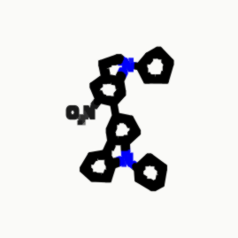 O=[N+]([O-])c1cc2ccn(-c3ccccc3)c2cc1-c1ccc2c(c1)c1ccccc1n2-c1ccccc1